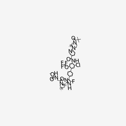 COC(=O)NCC(=O)N1C[C@@H](C)C[C@H]1c1nc(-c2ccc(-c3cc(Cl)c(NC(=O)c4ccc(N5CCN(C(=O)C(C)(C)C)C[C@H]5C)nc4)cc3OC(F)(F)F)cc2)c(F)[nH]1